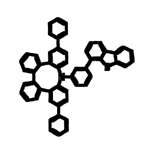 c1ccc(-c2ccc3c(c2)c2ccccc2c2ccccc2c2cc(-c4ccccc4)ccc2n3-c2cccc(-c3cccc4c3sc3ccccc34)c2)cc1